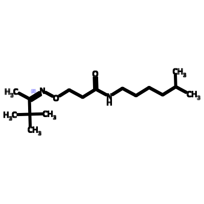 C/C(=N/OCCC(=O)NCCCCC(C)C)C(C)(C)C